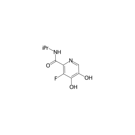 CC(C)NC(=O)c1ncc(O)c(O)c1F